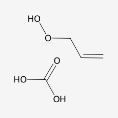 C=CCOO.O=C(O)O